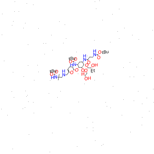 CC[C@@H](O)[C@H](OCCO)O[C@@H]1[C@@H](O)[C@H](O[C@@H]2CCC=C(CNCC(C)(C)NC(=O)OC(C)(C)C)O2)[C@@H](NC(=O)OC(C)(C)C)C[C@H]1NC(=O)CCNC(=O)OC(C)(C)C